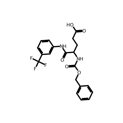 O=C(O)CCC(NC(=O)OCc1ccccc1)C(=O)Nc1cccc(C(F)(F)F)c1